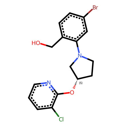 OCc1ccc(Br)cc1N1CC[C@H](Oc2ncccc2Cl)C1